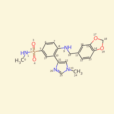 CNS(=O)(=O)c1ccc(NCc2ccc3c(c2)OCO3)c(-c2cn(C)cn2)c1